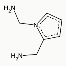 NCc1cccn1CN